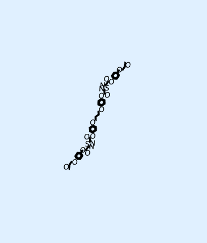 O=C(Oc1ccc(OCCCCOc2ccc(OC(=O)c3nnc(C(=O)Oc4ccc(OCC5CO5)cc4)s3)cc2)cc1)c1nnc(C(=O)Oc2ccc(OCC3CO3)cc2)s1